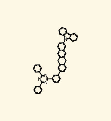 c1ccc(-c2nc(-c3ccccc3)nc(-c3cccc(-c4ccc5c(c4)Cc4cc6ccc(-n7c8ccccc8c8ccccc87)cc6cc4C5)c3)n2)cc1